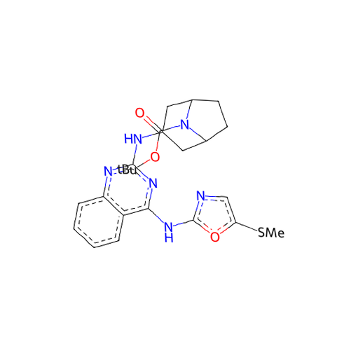 CSc1cnc(Nc2nc(NC3CC4CCC(C3)N4C(=O)OC(C)(C)C)nc3ccccc23)o1